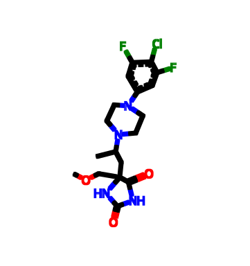 COCC1(CC(C)N2CCN(c3cc(F)c(Cl)c(F)c3)CC2)NC(=O)NC1=O